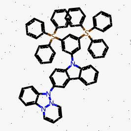 C1=CN2c3ccccc3N(c3ccc4c(c3)c3ccccc3n4-c3cc(S(c4ccccc4)(c4ccccc4)c4ccccc4)cc(S(c4ccccc4)(c4ccccc4)c4ccccc4)c3)N2C=C1